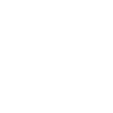 O=C1CC=CC=C1C1(C2=CC=CCC2=O)CCCCC1